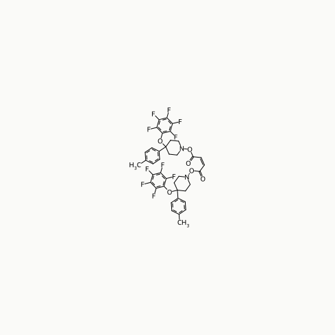 Cc1ccc(C2(Oc3c(F)c(F)c(F)c(F)c3F)CCN(OC(=O)/C=C\C(=O)ON3CCC(Oc4c(F)c(F)c(F)c(F)c4F)(c4ccc(C)cc4)CC3)CC2)cc1